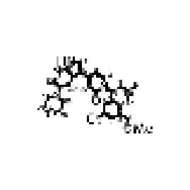 COCc1cc(Cl)cc([C@@H](CN(C)C)n2ccc(-c3c[nH]c4ncc(N5CCOCC5)cc34)cc2=O)c1